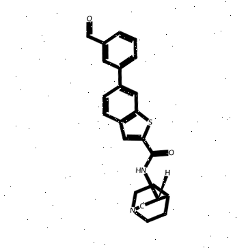 O=Cc1cccc(-c2ccc3cc(C(=O)N[C@H]4CN5CCC4CC5)sc3c2)c1